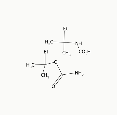 CCC(C)(C)NC(=O)O.CCC(C)(C)OC(N)=O